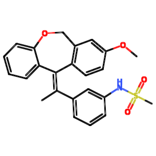 COc1ccc2c(c1)COc1ccccc1/C2=C(\C)c1cccc(NS(C)(=O)=O)c1